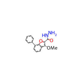 COc1c(C(=O)NN)oc2c(-c3ccccc3)cccc12